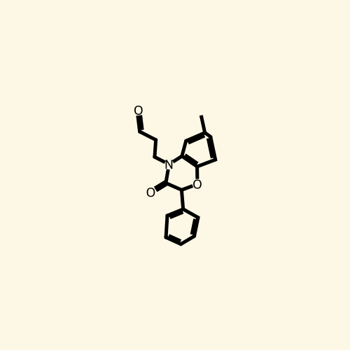 Cc1ccc2c(c1)N(CCC=O)C(=O)C(c1ccccc1)O2